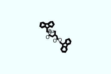 CCC(C)CC(CC(=O)OCC1c2ccccc2-c2ccccc21)CC(=O)OCC1c2ccccc2-c2ccccc21